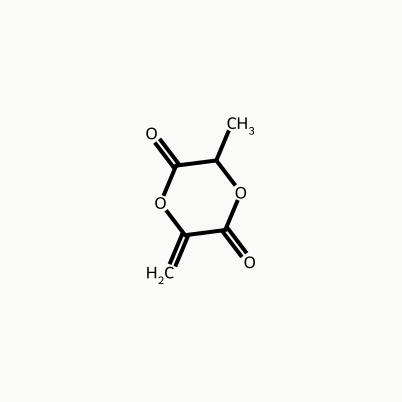 C=C1OC(=O)C(C)OC1=O